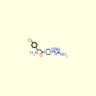 Nc1n[nH]c(N2CCN(C(=O)CC(N)c3ccc(Cl)cc3)CC2)n1